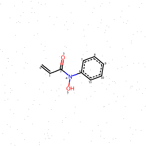 C=CC(=O)N(O)c1ccccc1